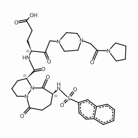 O=C(O)CC[C@H](NC(=O)[C@@H]1CCCN2C(=O)CC[C@H](NS(=O)(=O)c3ccc4ccccc4c3)C(=O)N12)C(=O)CN1CCN(CC(=O)N2CCCC2)CC1